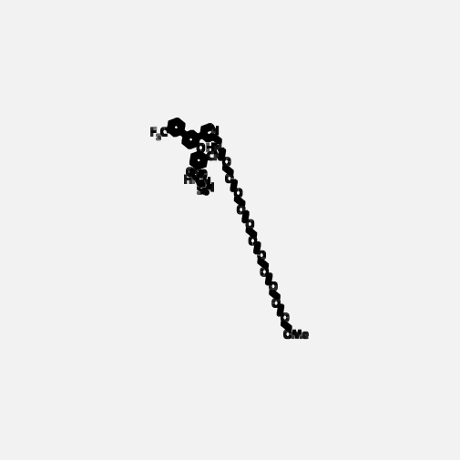 COCCOCCOCCOCCOCCOCCOCCOCCOCCOCCOCCOCCNCc1cc(-c2cc(-c3cccc(C(F)(F)F)c3)ccc2Oc2ccc(S(=O)(=O)Nc3nncs3)cc2C#N)ccn1